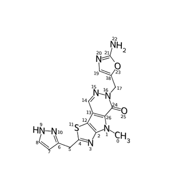 Cn1c2nc(Cc3cc[nH]n3)sc2c2cnn(Cc3cnc(N)o3)c(=O)c21